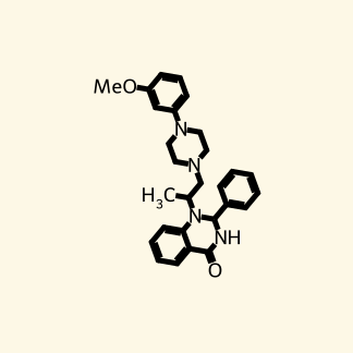 COc1cccc(N2CCN(CC(C)N3c4ccccc4C(=O)NC3c3ccccc3)CC2)c1